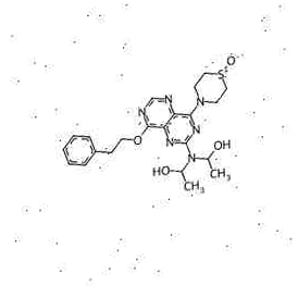 CC(O)N(c1nc(N2CC[S+]([O-])CC2)c2ncnc(OCCc3ccccc3)c2n1)C(C)O